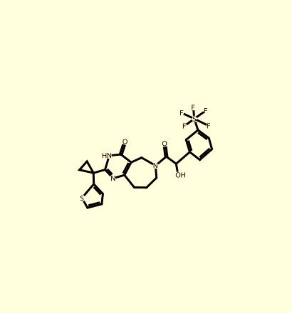 O=C(C(O)c1cccc(S(F)(F)(F)(F)F)c1)N1CCCc2nc(C3(c4cccs4)CC3)[nH]c(=O)c2C1